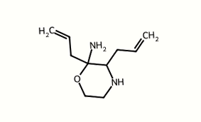 C=CCC1NCCOC1(N)CC=C